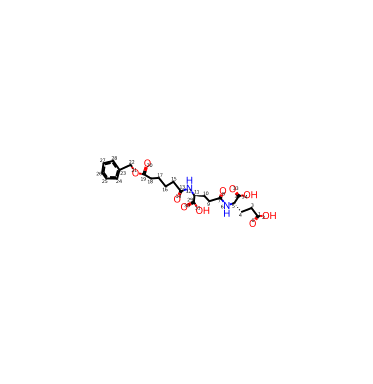 O=C(O)CC[C@H](NC(=O)CC[C@H](NC(=O)CCCCC(=O)OCc1ccccc1)C(=O)O)C(=O)O